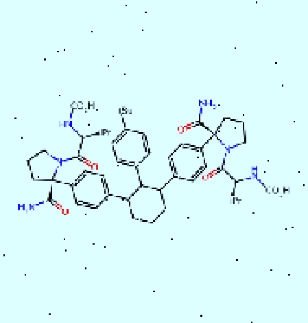 CC(C)[C@H](NC(=O)O)C(=O)N1CCC[C@@]1(C(N)=O)c1ccc(C2CCCC(c3ccc([C@]4(C(N)=O)CCCN4C(=O)[C@@H](NC(=O)O)C(C)C)cc3)C2c2ccc(C(C)(C)C)cc2)cc1